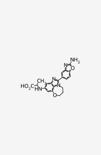 CC(Nc1cc2c3c(c1)nc(-c1ccc4oc(N)nc4c1)n3CCCO2)C(=O)O